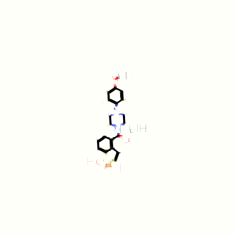 COc1ccc(N2CCN(C(=O)c3cccc4c3C=CS4(O)O)CC2)cc1.Cl